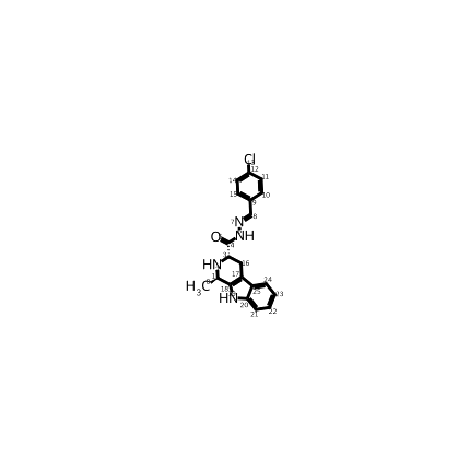 C[C@H]1N[C@H](C(=O)NN=Cc2ccc(Cl)cc2)Cc2c1[nH]c1ccccc21